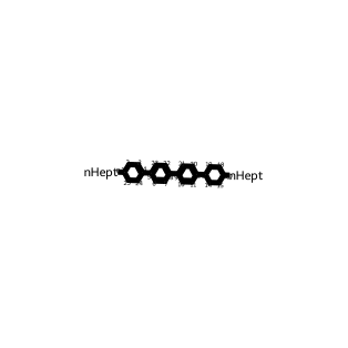 CCCCCCCC1CC=C(c2ccc(-c3ccc(C4CCC(CCCCCCC)CC4)cc3)cc2)CC1